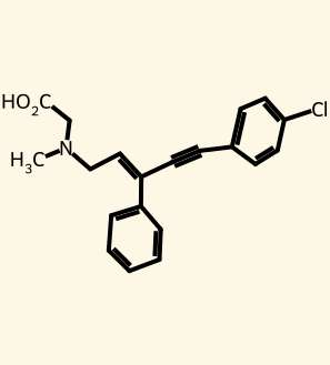 CN(CC=C(C#Cc1ccc(Cl)cc1)c1ccccc1)CC(=O)O